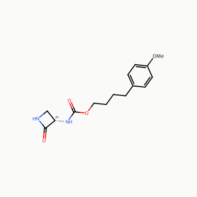 COc1ccc(CCCCOC(=O)N[C@H]2CNC2=O)cc1